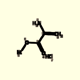 C=C(N)C(=O)OCC.Cl